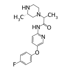 CC(C(=O)Nc1ccc(Oc2ccc(F)cc2)cn1)N1CCN[C@@H](C)C1